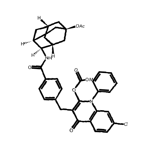 COC(=O)Oc1c(Cc2ccc(C(=O)N[C@@H]3[C@@H]4C[C@@H]5C[C@H]3C[C@](OC(C)=O)(C5)C4)cc2)c(=O)c2ccc(Cl)cc2n1-c1ccccc1